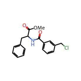 COC(=O)C(Cc1ccccc1)NC(=O)c1cccc(CCl)c1